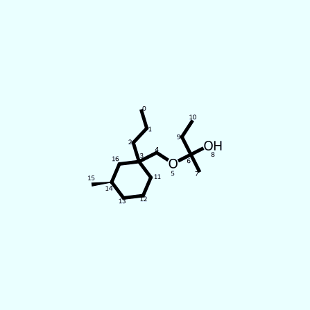 CCCC1(COC(C)(O)CC)CCC[C@@H](C)C1